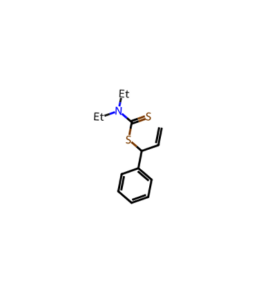 C=CC(SC(=S)N(CC)CC)c1ccccc1